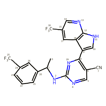 CC(Nc1ncc(C#N)c(-c2c[nH]c3ncc(C(F)(F)F)cc23)n1)c1cccc(C(F)(F)F)c1